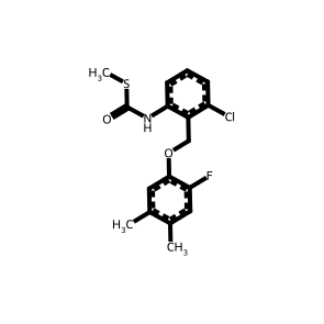 CSC(=O)Nc1cccc(Cl)c1COc1cc(C)c(C)cc1F